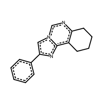 c1ccc(-c2cn3cnc4c(c3n2)CCCC4)cc1